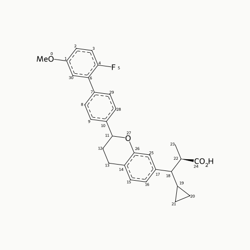 COc1ccc(F)c(-c2ccc(C3CCc4ccc(C(C5CC5)[C@@H](C)C(=O)O)cc4O3)cc2)c1